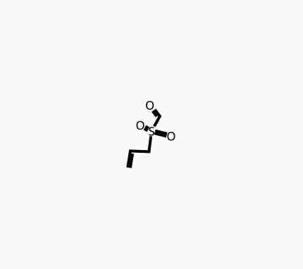 C=CCS(=O)(=O)C=O